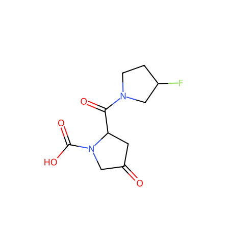 O=C1CC(C(=O)N2CCC(F)C2)N(C(=O)O)C1